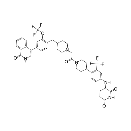 Cn1cc(-c2ccc(CC3CCN(CC(=O)N4CCC(c5ccc(NC6CCC(=O)NC6=O)cc5C(F)(F)F)CC4)CC3)c(OC(F)(F)F)c2)c2ccccc2c1=O